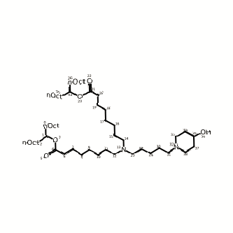 CCCCCCCCC(CCCCCCCC)OC(=O)CCCCCCCN(CCCCCCCC(=O)OC(CCCCCCCC)CCCCCCCC)CCCCCN1CCC(O)CC1